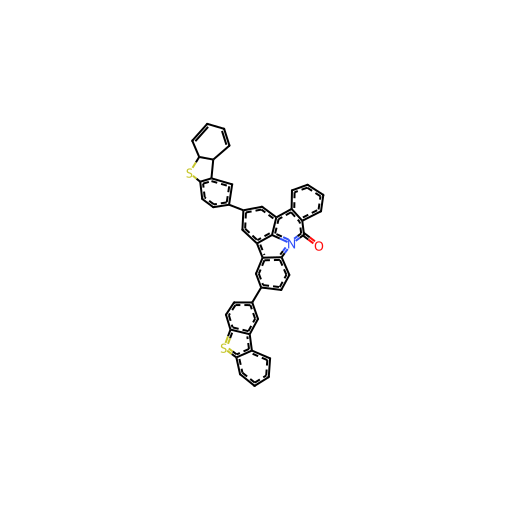 O=c1c2ccccc2c2cc(-c3ccc4c(c3)C3C=CC=CC3S4)cc3c4cc(-c5ccc6sc7ccccc7c6c5)ccc4n1c23